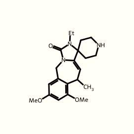 CCN1C(=O)N2Cc3cc(OC)cc(OC)c3C(C)C=C2C12CCNCC2